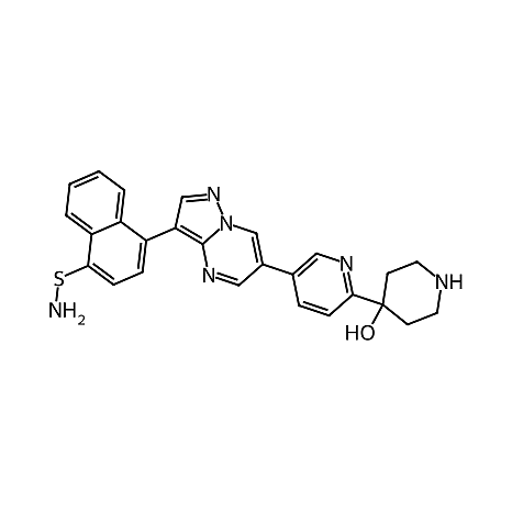 NSc1ccc(-c2cnn3cc(-c4ccc(C5(O)CCNCC5)nc4)cnc23)c2ccccc12